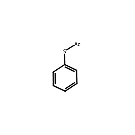 [CH2]C(=O)Sc1ccccc1